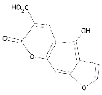 O=C(O)c1cc2c(O)c3ccoc3cc2oc1=O